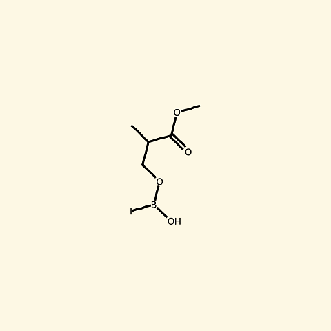 COC(=O)C(C)COB(O)I